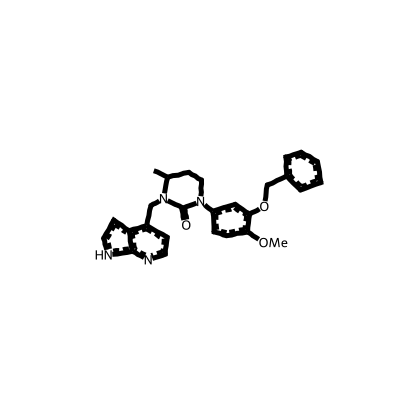 COc1ccc(N2CCC(C)N(Cc3ccnc4[nH]ccc34)C2=O)cc1OCc1ccccc1